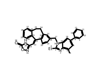 CCc1nc2c(C)cc(-c3ccccc3)cc2n1Cc1ccc2c(c1)CCc1ccccc1/C2=C\c1noc(=O)[nH]1